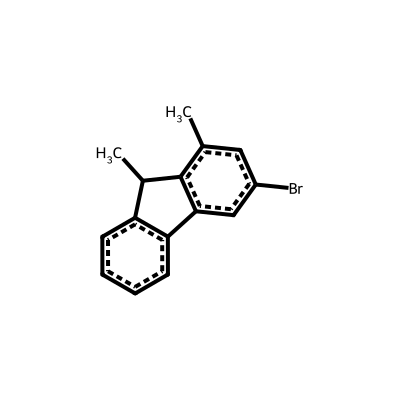 Cc1cc(Br)cc2c1C(C)c1ccccc1-2